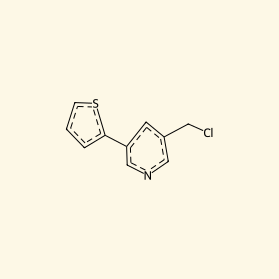 ClCc1cncc(-c2cccs2)c1